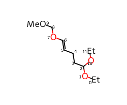 CCOC(CCC=COCOC)OCC